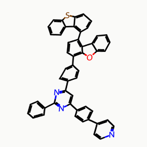 c1ccc(-c2nc(-c3ccc(-c4ccncc4)cc3)cc(-c3ccc(-c4ccc(-c5cccc6sc7ccccc7c56)c5c4oc4ccccc45)cc3)n2)cc1